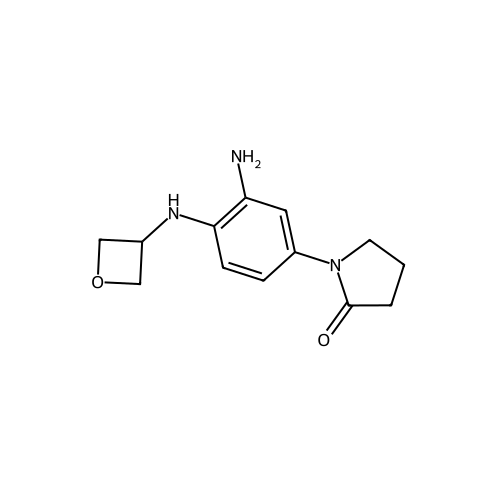 Nc1cc(N2CCCC2=O)ccc1NC1COC1